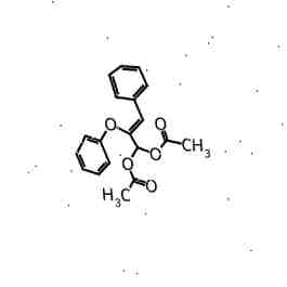 CC(=O)OC(OC(C)=O)C(=Cc1ccccc1)Oc1ccccc1